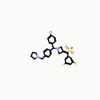 CS(=O)(=O)C(=C1CN(C(c2ccc(Cl)cc2)c2ccc(CN3CCCC3)cc2)C1)c1cc(F)cc(F)c1